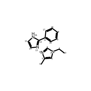 CCn1cnc(C)c1.c1ccc(-c2ncc[nH]2)cc1